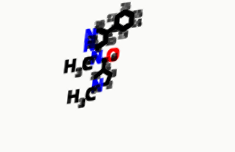 CN1CCC(C(=O)N(C)c2cc(-c3ccccc3)cnn2)C1